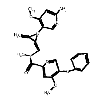 C=C1/C(=C\N(C)C(=O)c2cc(OC)c(Oc3ccccc3)cn2)N1c1cnc(N)cc1OC